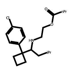 CCCC(=O)OCCNC(CC(C)C)C1(c2ccc(Cl)cc2)CCC1